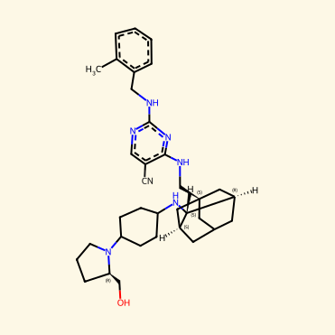 Cc1ccccc1CNc1ncc(C#N)c(NC[C@]23CC4C[C@H](C2)[C@@H](NC2CCC(N5CCC[C@@H]5CO)CC2)[C@@H](C4)C3)n1